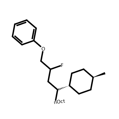 CCCCCCCCC(CC(F)COc1ccccc1)[C@H]1CC[C@H](C)CC1